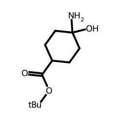 CC(C)(C)OC(=O)C1CCC(N)(O)CC1